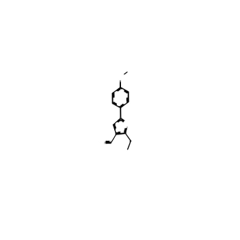 CCc1oc(-c2ccc(OC)cc2)cc1C=O